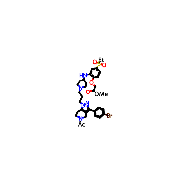 CCS(=O)(=O)c1ccc(OCC(=O)OC)c(NC2CCN(CCCn3nc(-c4ccc(Br)cc4)c4c3CCN(C(C)=O)C4)CC2)c1